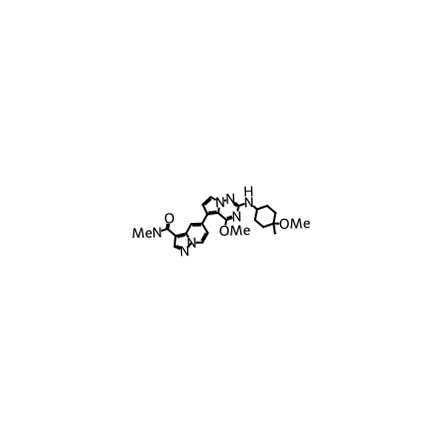 CNC(=O)c1cnn2ccc(-c3ccn4nc(NC5CCC(C)(OC)CC5)nc(OC)c34)cc12